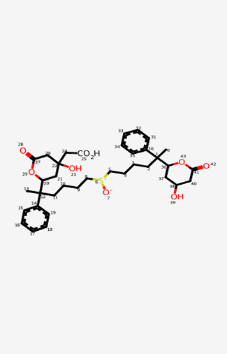 CC(CCCC[S+]([O-])CCCCC(C)(c1ccccc1)C1CC(O)(CC(=O)O)CC(=O)O1)(c1ccccc1)C1CC(O)CC(=O)O1